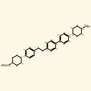 CCCCC[C@H]1CC[C@H](c2ccc(CCc3ccc(-c4ccc([C@H]5CC[C@H](CCCC)CC5)cc4)cc3)cc2)CC1